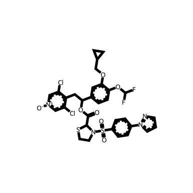 O=C(OC(Cc1c(Cl)c[n+]([O-])cc1Cl)c1ccc(OC(F)F)c(OCC2CC2)c1)C1SCCN1S(=O)(=O)c1ccc(-n2cccn2)cc1